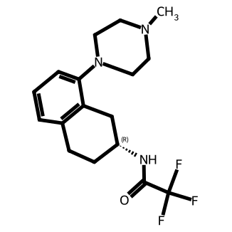 CN1CCN(c2cccc3c2C[C@H](NC(=O)C(F)(F)F)CC3)CC1